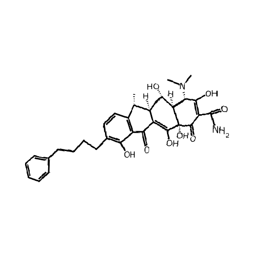 C[C@H]1c2ccc(CCCCc3ccccc3)c(O)c2C(=O)C2=C(O)[C@]3(O)C(=O)C(C(N)=O)=C(O)[C@@H](N(C)C)[C@@H]3[C@@H](O)[C@@H]21